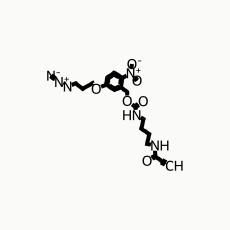 C#CC(=O)NCCCCNC(=O)OCc1cc(OCCCN=[N+]=[N-])ccc1[N+](=O)[O-]